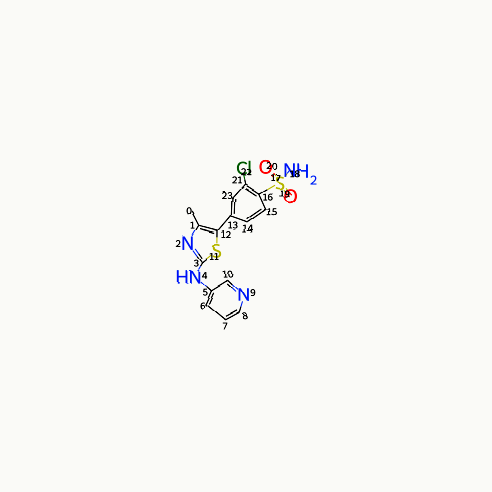 Cc1nc(Nc2cccnc2)sc1-c1ccc(S(N)(=O)=O)c(Cl)c1